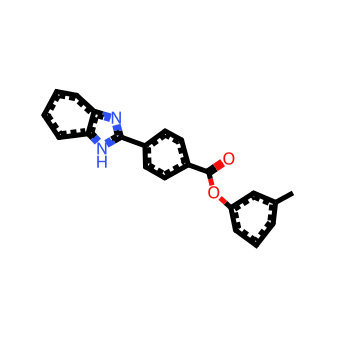 Cc1cccc(OC(=O)c2ccc(-c3nc4ccccc4[nH]3)cc2)c1